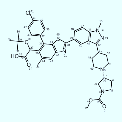 COC(=O)N1CC[C@@H](N2CCC(c3nn(C)c4ccc(-c5nc6cc(C)c(C(OC(C)(C)C)C(=O)O)c(-c7ccc(Cl)cc7)c6s5)cc34)CC2)C1